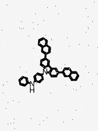 c1ccc(Nc2ccc(-n3c4ccc(-c5ccc6ccccc6c5)cc4c4cc(-c5ccc6ccccc6c5)ccc43)cc2)cc1